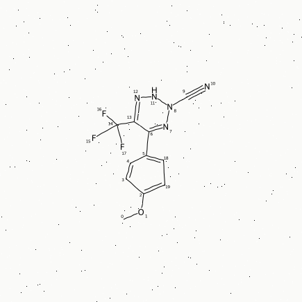 COc1ccc(C2=NN(C#N)NN=C2C(F)(F)F)cc1